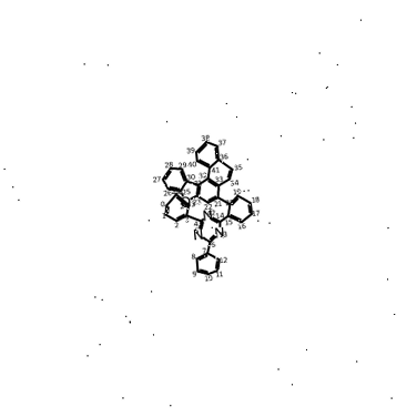 c1ccc(-c2nc(-c3ccccc3)nc(-c3ccccc3-c3cc4oc5ccccc5c4c4c3ccc3ccccc34)n2)cc1